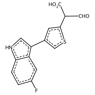 O=CC(C(=O)O)c1cc(-c2c[nH]c3ccc(F)cc23)cs1